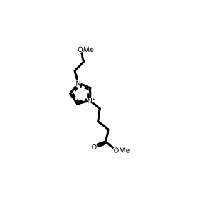 COCCn1cc[n+](CCCC(=O)OC)c1